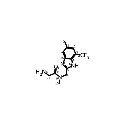 Cc1cc(C(F)(F)F)c2[nH]c(CN(C)C(=O)CN)nc2c1